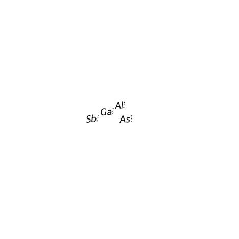 [Al].[As].[Ga].[Sb]